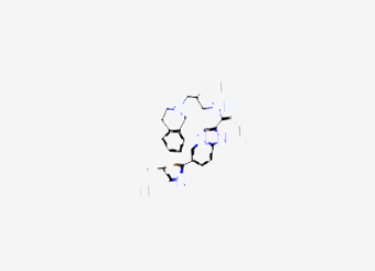 C=C(NCC(C)CN1CCc2ccccc2C1)c1cn2cc(-c3nc(C)c(C)s3)ccc2n1